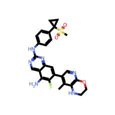 Cc1c(-c2cc3nc(Nc4ccc(C5(S(C)(=O)=O)CC5)cc4)ncc3c(N)c2F)cnc2c1NCCO2